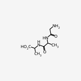 CC(NC(=O)C(C)NC(=O)CN)C(=O)O